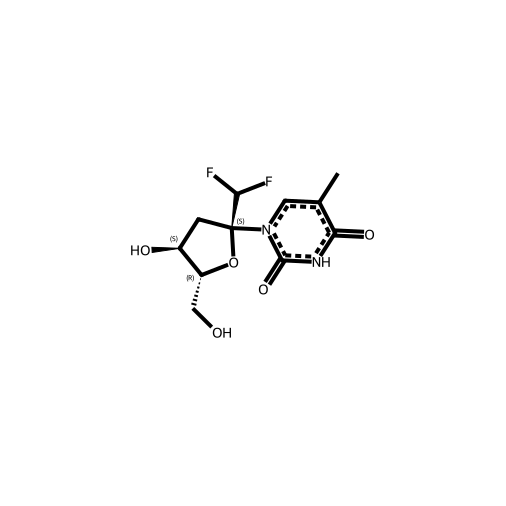 Cc1cn([C@@]2(C(F)F)C[C@H](O)[C@@H](CO)O2)c(=O)[nH]c1=O